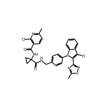 Cc1ccc(C(=O)NC2(C(=O)NCc3ccc(-n4c(-c5noc(C)n5)c(Cl)c5ccccc54)cc3)CC2)c(Cl)n1